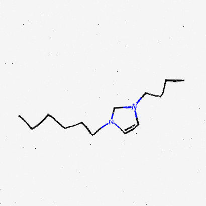 CCCCCCN1C=CN(CCCC)C1